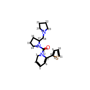 O=C(N1CC=CC=C1c1cccs1)N1CCCC1CN1CCCC1